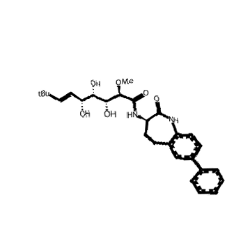 CO[C@@H](C(=O)N[C@@H]1CCc2cc(-c3ccccc3)ccc2NC1=O)[C@H](O)[C@@H](O)[C@H](O)/C=C/C(C)(C)C